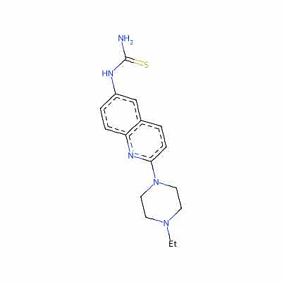 CCN1CCN(c2ccc3cc(NC(N)=S)ccc3n2)CC1